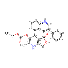 CCOC(=O)OC1=C(C)NC2=C(C(=O)OC2)C1c1cccc2ncc(-c3ccccc3)cc12